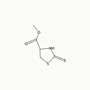 COC(=O)C1CSC(=S)N1